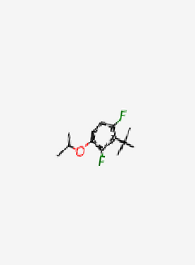 CC(C)Oc1ccc(F)c(C(C)(C)C)c1F